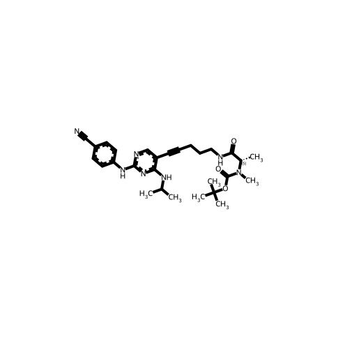 CC(C)Nc1nc(Nc2ccc(C#N)cc2)ncc1C#CCCCNC(=O)[C@H](C)N(C)C(=O)OC(C)(C)C